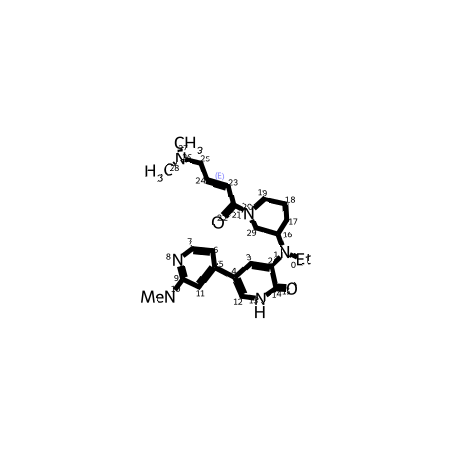 CCN(c1cc(-c2ccnc(NC)c2)c[nH]c1=O)C1CCCN(C(=O)/C=C/CN(C)C)C1